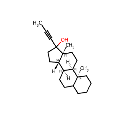 CC#CC1(O)CC[C@H]2[C@@H]3CCC4CCCC[C@]4(C)[C@@H]3CC[C@@]21C